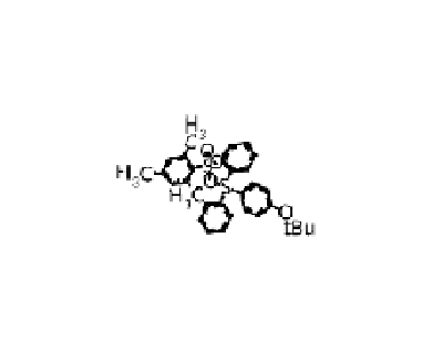 Cc1cc(C)c(S(=O)(=O)OS(c2ccccc2)(c2ccccc2)c2ccc(OC(C)(C)C)cc2)c(C)c1